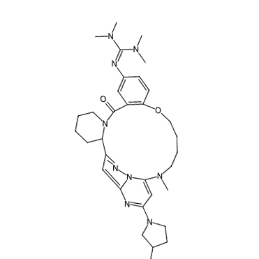 CN(C)C(=Nc1ccc2c(c1)C(=O)N1CCCCC1c1cc3nc(N4CCC(N)C4)cc(n3n1)N(C)CCCCO2)N(C)C